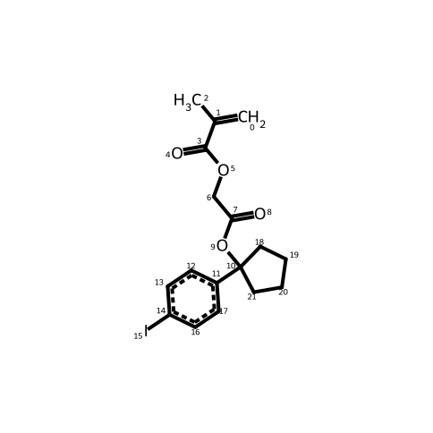 C=C(C)C(=O)OCC(=O)OC1(c2ccc(I)cc2)CCCC1